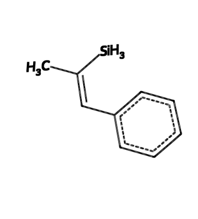 CC([SiH3])=Cc1ccccc1